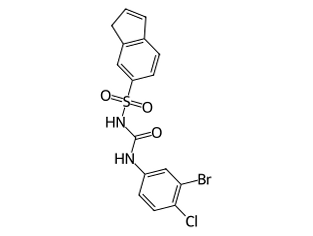 O=C(Nc1ccc(Cl)c(Br)c1)NS(=O)(=O)c1ccc2c(c1)CC=C2